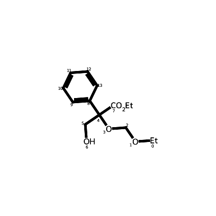 CCOCOC(CO)(C(=O)OCC)c1ccccc1